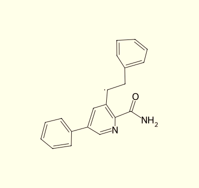 NC(=O)c1ncc(-c2ccccc2)cc1[CH]Cc1ccccc1